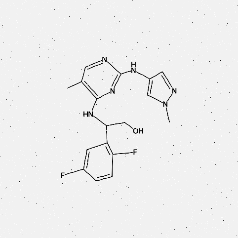 Cc1cnc(Nc2cnn(C)c2)nc1NC(CO)c1cc(F)ccc1F